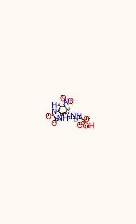 O=c1[nH]c2cc([N+](=O)[O-])cc(CNCCS(=O)(=O)O)c2[nH]c1=O